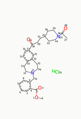 COC(=O)c1ccccc1CN1CCc2ccc(C(=O)CCC3CCN(C(C)=O)CC3)cc2CC1.Cl